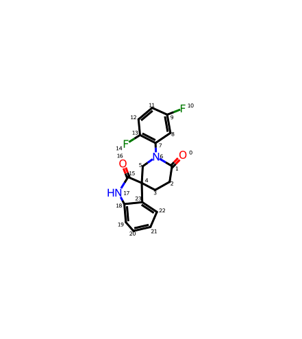 O=C1CCC2(CN1c1cc(F)ccc1F)C(=O)Nc1ccccc12